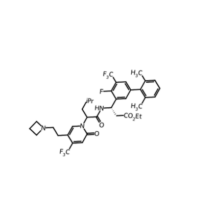 CCOC(=O)C[C@H](NC(=O)C(CC(C)C)n1cc(CCN2CCC2)c(C(F)(F)F)cc1=O)c1cc(-c2c(C)cccc2C)cc(C(F)(F)F)c1F